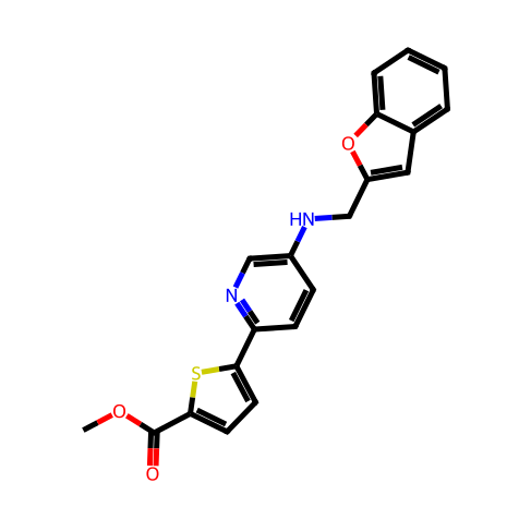 COC(=O)c1ccc(-c2ccc(NCc3cc4ccccc4o3)cn2)s1